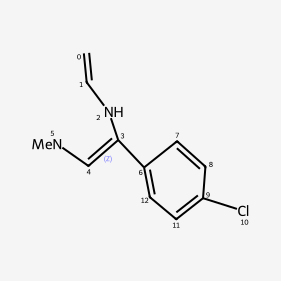 C=CN/C(=C\NC)c1ccc(Cl)cc1